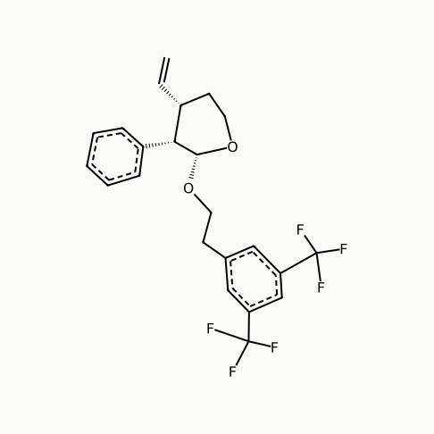 C=C[C@@H]1CCO[C@H](OCCc2cc(C(F)(F)F)cc(C(F)(F)F)c2)[C@@H]1c1ccccc1